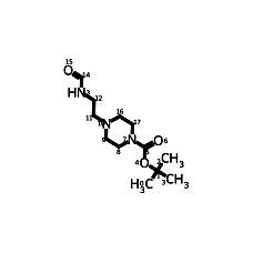 CC(C)(C)OC(=O)N1CCN(CCNC=O)CC1